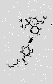 CCOC(=O)c1cnc(C#Cc2ccc3c(c2)C(C)(C)CCS3=S=O)nc1